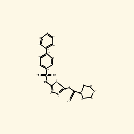 O=C(Cc1nnc(NS(=O)(=O)c2ccc(-c3ccccc3)cc2)s1)N1CCSCC1